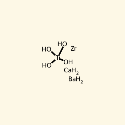 [BaH2].[CaH2].[OH][Ti]([OH])([OH])[OH].[Zr]